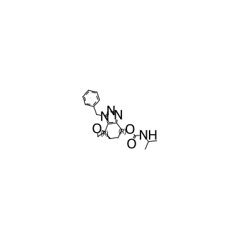 CC(C)NC(=O)O[C@@H]1CC[C@]2(CO2)c2c1nnn2Cc1ccccc1